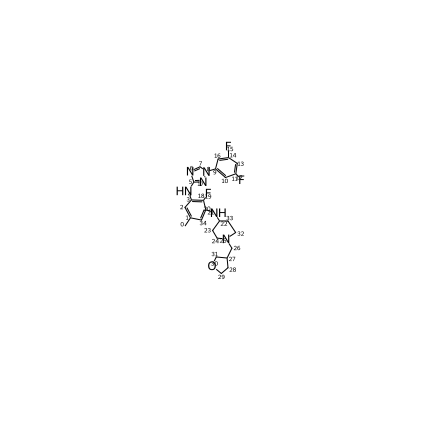 Cc1cc(Nc2ncn(-c3cc(F)cc(F)c3)n2)c(F)c(NC2CCN(CC3CCOC3)CC2)c1